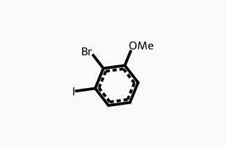 COc1cccc(I)c1Br